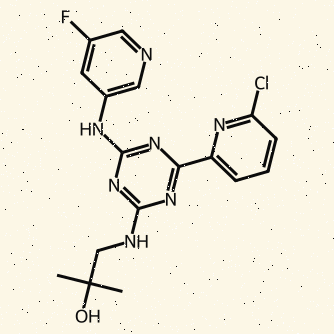 CC(C)(O)CNc1nc(Nc2cncc(F)c2)nc(-c2cccc(Cl)n2)n1